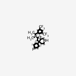 C[C@@H](c1cc(C(F)(F)F)cc(C(F)(F)F)c1)N(C)C(=O)CC1(c2ccc(F)cc2)CCNCC1